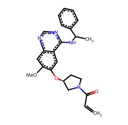 C=CC(=O)N1CC[C@H](Oc2cc3c(NC(C)c4ccccc4)ncnc3cc2OC)C1